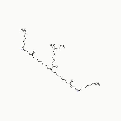 CCCCCC/C=C\COC(=O)CCCCCCCN(CCCCCCCC(=O)OC/C=C\CCCCCC)C(=O)CSCCCN(C)CC